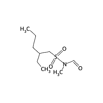 CCCC(CC)CS(=O)(=O)N(C)C=O